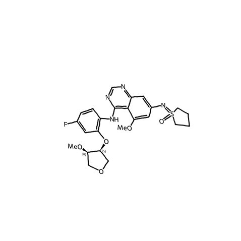 COc1cc(N=S2(=O)CCCC2)cc2ncnc(Nc3ccc(F)cc3O[C@H]3COC[C@H]3OC)c12